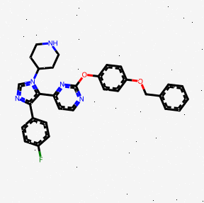 Fc1ccc(-c2ncn(C3CCNCC3)c2-c2ccnc(Oc3ccc(OCc4ccccc4)cc3)n2)cc1